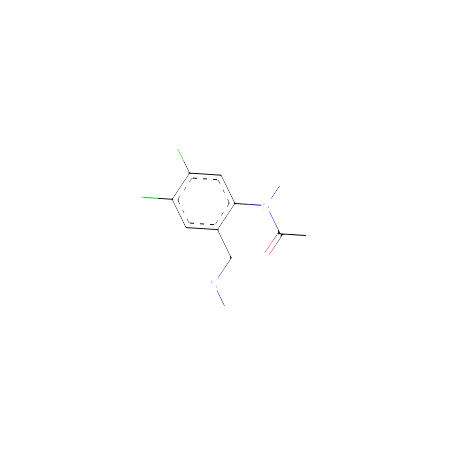 CNCc1cc(Cl)c(Cl)cc1N(C)C(C)=O